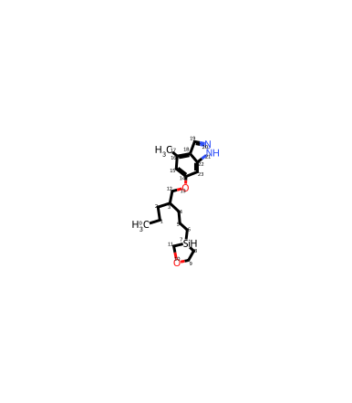 CCCC(CCC[SiH]1CCOC1)COc1cc(C)c2cn[nH]c2c1